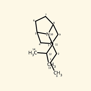 CCCN1CC2CCC(C1)N2CC(C)C